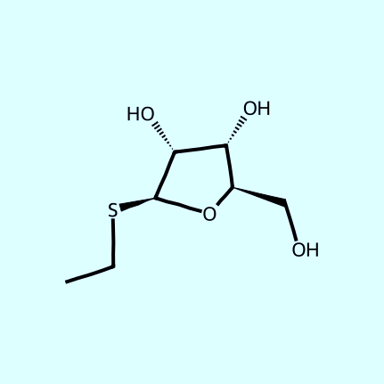 CCS[C@@H]1O[C@H](CO)[C@@H](O)[C@H]1O